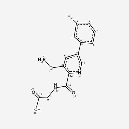 BOc1cc(-c2cccc(F)c2)cnc1C(=O)NCC(=O)O